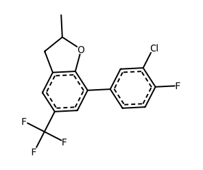 CC1Cc2cc(C(F)(F)F)cc(-c3ccc(F)c(Cl)c3)c2O1